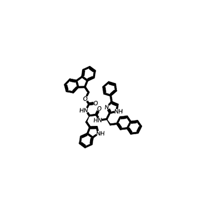 O=C(N[C@H](Cc1c[nH]c2ccccc12)C(=O)N[C@H](Cc1ccc2ccccc2c1)c1nc(-c2ccccc2)c[nH]1)OCC1c2ccccc2-c2ccccc21